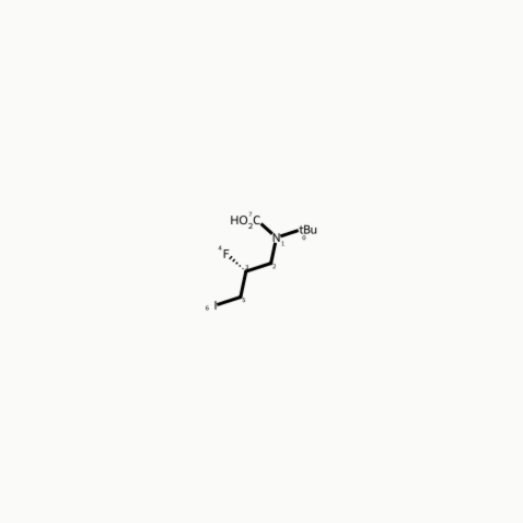 CC(C)(C)N(C[C@@H](F)CI)C(=O)O